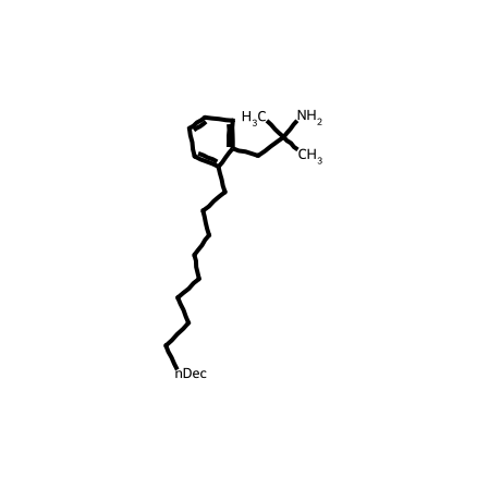 CCCCCCCCCCCCCCCCCCc1ccccc1CC(C)(C)N